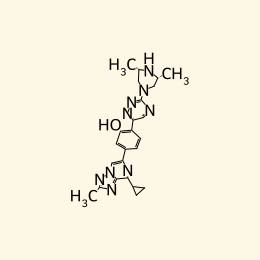 Cc1nc2c(C3CC3)nc(-c3ccc(-c4cnc(N5C[C@@H](C)N[C@@H](C)C5)nn4)c(O)c3)cn2n1